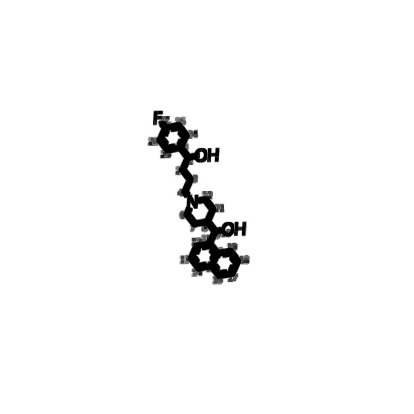 OC(CCCN1CCC(C(O)c2cccc3ccccc23)CC1)c1ccc(F)cc1